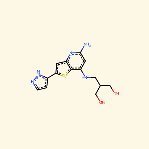 Nc1cc(NCC(CO)CO)c2sc(-c3ccn[nH]3)cc2n1